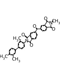 Cc1ccc(-c2ccc(N3C(=O)c4ccc(C(=O)c5ccc6c(c5)C(=O)N(C)C6=O)cc4C3=O)c(C)c2)cc1C